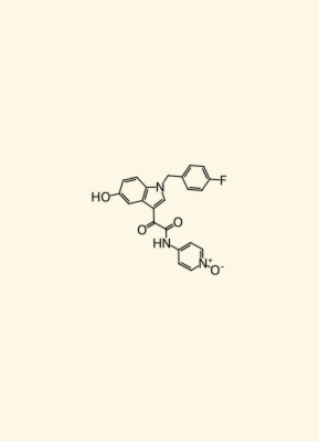 O=C(Nc1cc[n+]([O-])cc1)C(=O)c1cn(Cc2ccc(F)cc2)c2ccc(O)cc12